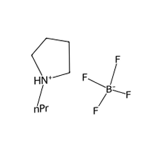 CCC[NH+]1CCCC1.F[B-](F)(F)F